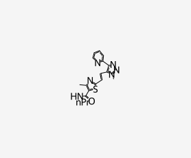 CCCNC(=O)c1sc(C=Cc2c(-c3ccccn3)nnn2C)nc1C